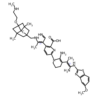 CNCCOC12CC3(C)CC4(CN/C(C)=C(\C=N)c5ccc(N6CCCC(/C(C)=C(\N)Nc7nc8cc(OC)ccc8s7)=C6N)nc5C(=O)O)CC(C)(C1)C32C4